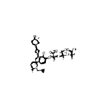 NC1CCN(C2CN(CC[C@]3(c4ccc(Cl)c(Cl)c4)CCC(=O)N(CC4CC4)C3)C2)CC1.O=C(O)C(F)(F)F.O=C(O)C(F)(F)F.O=C(O)C(F)(F)F